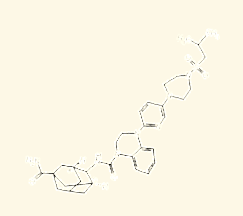 CC(C)CS(=O)(=O)N1CCN(c2ccc(N3CCN(C(=O)NC4[C@@H]5CC6C[C@H]4CC(C(N)=O)(C6)C5)c4ccccc43)nc2)CC1